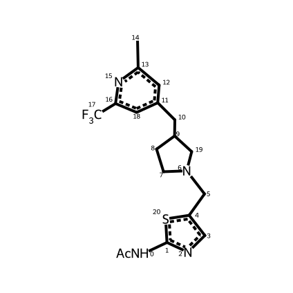 CC(=O)Nc1ncc(CN2CCC(Cc3cc(C)nc(C(F)(F)F)c3)C2)s1